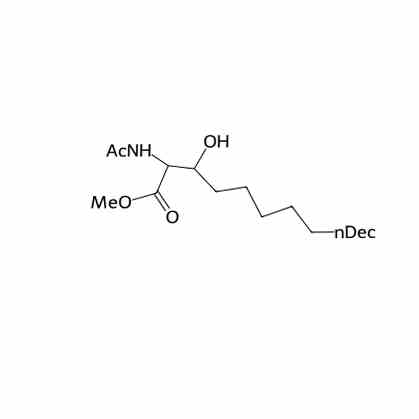 CCCCCCCCCCCCCCCC(O)C(NC(C)=O)C(=O)OC